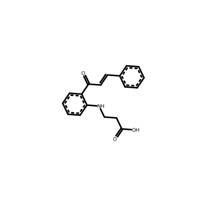 O=C(O)CCNc1ccccc1C(=O)C=Cc1ccccc1